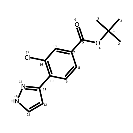 CC(C)(C)OC(=O)c1ccc(-c2cc[nH]n2)c(Cl)c1